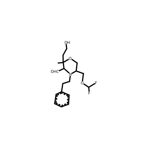 CC1(CCO)OCC(COC(F)F)N(CCc2ccccc2)C1C=O